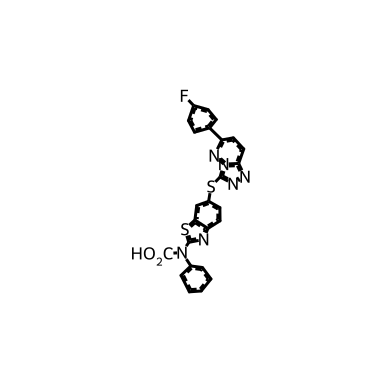 O=C(O)N(c1ccccc1)c1nc2ccc(Sc3nnc4ccc(-c5ccc(F)cc5)nn34)cc2s1